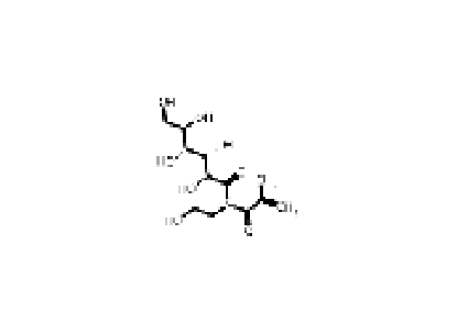 C=C(C)C(=O)N(CCO)C(=O)[C@@H](O)[C@@H](O)[C@H](O)[C@H](O)CO